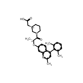 Cc1cc(-c2c(C)cccc2C)c2ccc(O[C@H](C)C(=O)N3CCC[C@H](CC(=O)O)C3)cc2n1